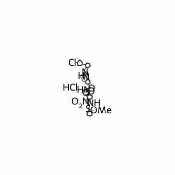 COc1ccccc1SCCNc1ccc(S(=O)(=O)NC(=O)c2ccc3c(c2)CC[C@H]2CN(Cc4ccccc4-c4ccc(Cl)cc4)CCN32)cc1[N+](=O)[O-].Cl